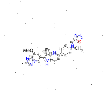 COc1cc(-c2[nH]c3ccc(C4CCC(N(C)CC(N)=O)CC4)nc3c2C(C)C)cn2ncnc12